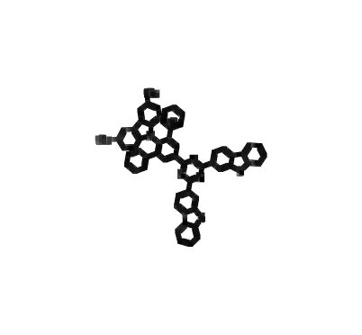 CC(C)(C)c1ccc2c(c1)c1cc(C(C)(C)C)cc(C(C)(C)C)c1n2-c1c(-c2ccccc2)cc(-c2nc(-c3ccc4c(c3)sc3ccccc34)nc(-c3ccc4c(c3)sc3ccccc34)n2)cc1-c1ccccc1